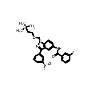 C[Si](C)(C)CCOCn1nc(-c2cccc([N+](=O)[O-])c2)c2cc(NC(=O)c3cccc(F)c3)ccc21